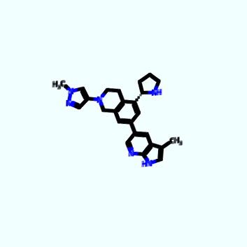 Cc1c[nH]c2ncc(-c3cc4c(c([C@@H]5CCCN5)c3)CCN(c3cnn(C)c3)C4)cc12